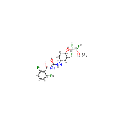 O=C(NC(=O)c1c(F)cccc1F)Nc1ccc(OC(F)(F)C(F)OC(F)(F)F)cc1